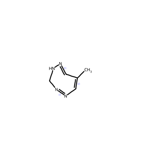 CC1=C/N=N\CN\N=C\1